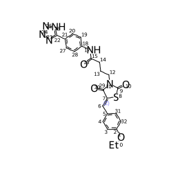 CCOc1ccc(/C=C2\SC(=O)N(CCCC(=O)Nc3ccc(-c4nnn[nH]4)cc3)C2=O)cc1